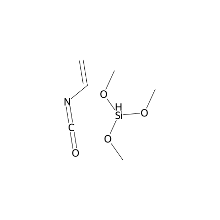 C=CN=C=O.CO[SiH](OC)OC